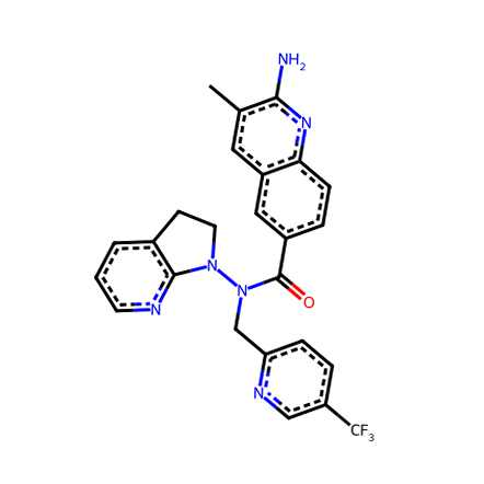 Cc1cc2cc(C(=O)N(Cc3ccc(C(F)(F)F)cn3)N3CCc4cccnc43)ccc2nc1N